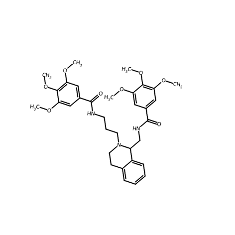 COc1cc(C(=O)NCCCN2CCc3ccccc3C2CNC(=O)c2cc(OC)c(OC)c(OC)c2)cc(OC)c1OC